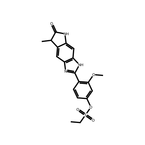 CCS(=O)(=O)Oc1ccc(-c2nc3cc4c(cc3[nH]2)NC(=O)C4C)c(OC)c1